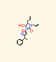 C=CCC1C(O)N(c2cc(C(C)c3ccccc3)no2)C(=O)N1CC=C